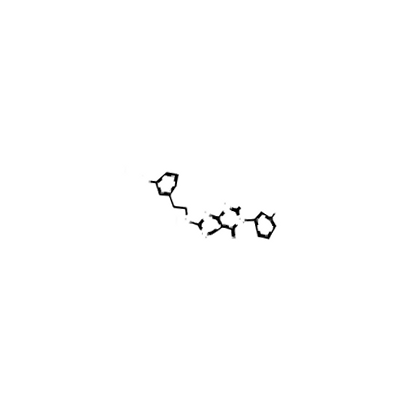 COc1cccc(CCNc2ncc3c(=O)n(-c4cccc(F)c4)c(=O)[nH]c3n2)c1